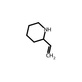 C=CC1CCCCN1